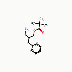 CC(C)(C)C(=O)OCC(CN)Cc1ccccc1